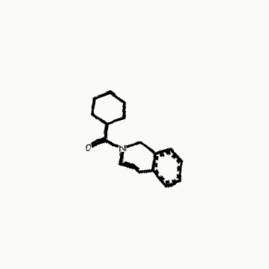 O=C(C1CCCCC1)N1C=Cc2ccccc2C1